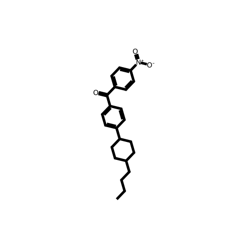 CCCCC1CCC(c2ccc(C(=O)c3ccc([N+](=O)[O-])cc3)cc2)CC1